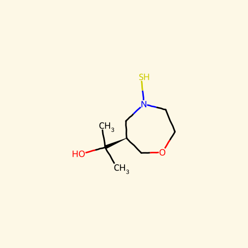 CC(C)(O)[C@@H]1COCCN(S)C1